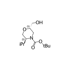 CC(C)[C@H]1CO[C@H](CO)CN1C(=O)OC(C)(C)C